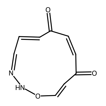 O=C1/C=C\ON/N=C\C=C\C(=O)/C=C\1